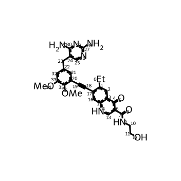 CCc1cc2c(=O)c(C(=O)NCCO)c[nH]c2cc1C#Cc1cc(Cc2cnc(N)nc2N)cc(OC)c1OC